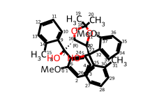 COc1ccccc1C(O)(c1ccccc1C)[C@@H]1OC(C)(C)O[C@H]1C(O)(c1ccccc1C)c1ccccc1OC